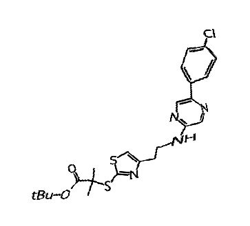 CC(C)(C)OC(=O)C(C)(C)Sc1nc(CCNc2cnc(-c3ccc(Cl)cc3)cn2)cs1